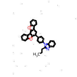 CCCc1nc2ccccc2n1-c1ccc(-c2cc3c4ccccc4oc3c3c2oc2ccccc23)cc1